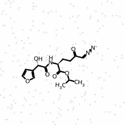 CC(C)OC(=O)[C@H](CCC(=O)C=[N+]=[N-])NC(=O)[C@@H](O)c1ccoc1